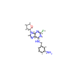 Nc1cccc(CNc2nc(F)nc3c2ncn3C2CCCO2)c1